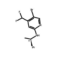 CC(C)[C@@H](C)Nc1cc(C(F)F)c(Br)cn1